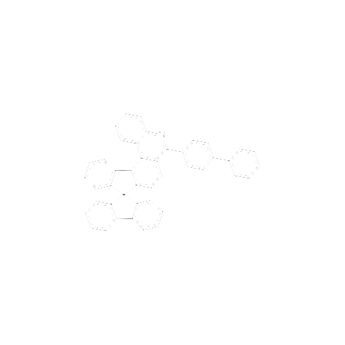 c1ccc(-c2ccc(-c3nc4ccccc4c4c5c(ccc34)C3(c4ccccc4-c4ccccc43)c3ccccc3-5)cc2)cc1